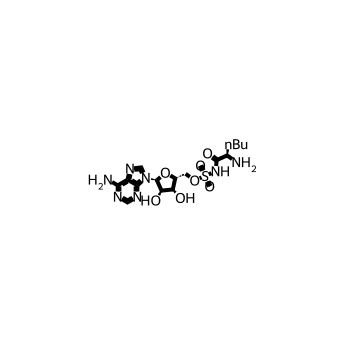 CCCC[C@@H](N)C(=O)NS(=O)(=O)OC[C@H]1O[C@@H](n2cnc3c(N)ncnc32)[C@H](O)[C@@H]1O